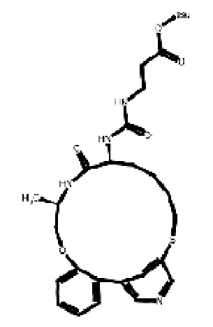 C[C@@H]1COc2ccccc2-c2cncc(c2)SCCCC[C@H](NC(=O)NCCC(=O)OC(C)(C)C)C(=O)N1